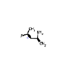 C=C(N)/C=C(\C)F